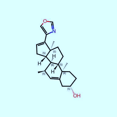 C[C@@H]1C=C2C[C@@H](O)CC[C@]2(C)[C@H]2CC[C@]3(C)C(c4cocn4)=CC[C@H]3[C@H]12